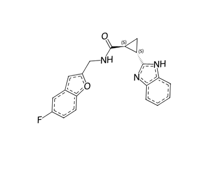 O=C(NCc1cc2cc(F)ccc2o1)[C@H]1C[C@@H]1c1nc2ccccc2[nH]1